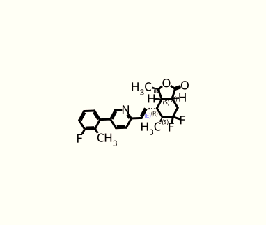 Cc1c(F)cccc1-c1ccc(/C=C/[C@@H]2[C@@H]3[C@@H](C)OC(=O)[C@@H]3CC(F)(F)[C@H]2C)nc1